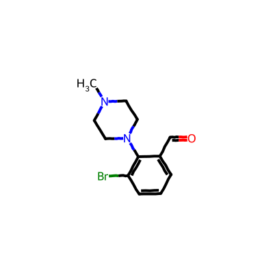 CN1CCN(c2c(Br)cccc2C=O)CC1